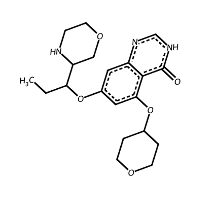 CCC(Oc1cc(OC2CCOCC2)c2c(=O)[nH]cnc2c1)C1COCCN1